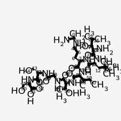 C=C(N)NCCC[C@@H](NC(=O)[C@H](CC(C)(C)C)NC(=O)[C@@H](N)[C@H](O)C(C)C)C(=O)N[C@H](C(=O)N[C@H](C(=O)NCC(=O)N[C@@H](CO)C(=O)N[C@@H](CO)C(=O)O)[C@H](C)O)[C@@H](C)CC